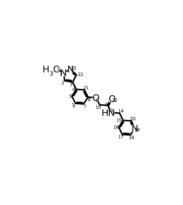 Cn1cc(-c2c[c]cc(OCC(=O)NCc3cccnc3)c2)cn1